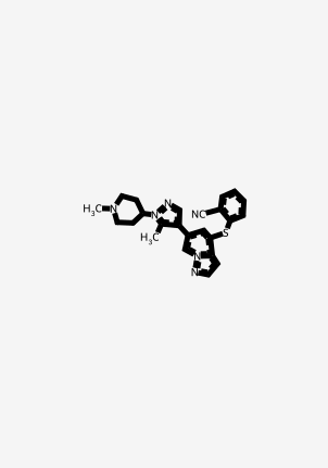 Cc1c(-c2cc(Sc3ccccc3C#N)c3ccnn3c2)cnn1C1CCN(C)CC1